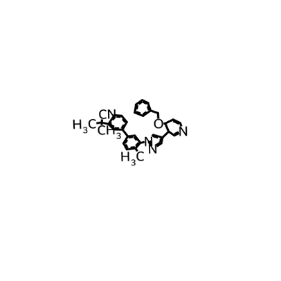 Cc1ccc(-c2cccc(C(C)(C)C#N)c2)cc1-n1cc(C2C=NC=CC2OCc2ccccc2)cn1